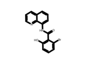 O=C(Nc1cccc2cccnc12)c1c(O)cccc1Br